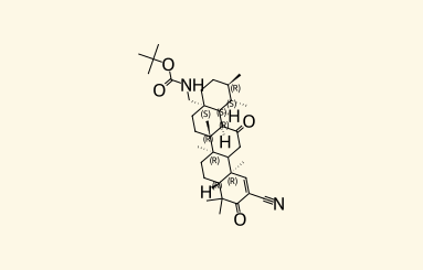 C[C@@H]1[C@H]2[C@H]3C(=O)CC4[C@@]5(C)C=C(C#N)C(=O)C(C)(C)[C@@H]5CC[C@@]4(C)[C@]3(C)CC[C@@]2(CNC(=O)OC(C)(C)C)CC[C@H]1C